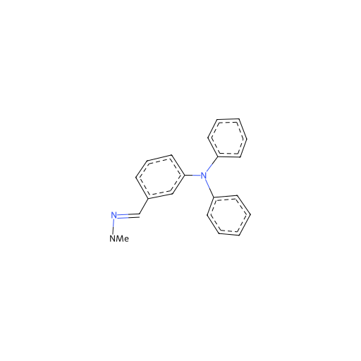 CN/N=C/c1cccc(N(c2ccccc2)c2ccccc2)c1